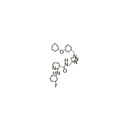 O=C(NCc1cn(Cc2cccc(Oc3ccccc3)c2)nn1)c1cccnc1Nc1cccc(F)c1